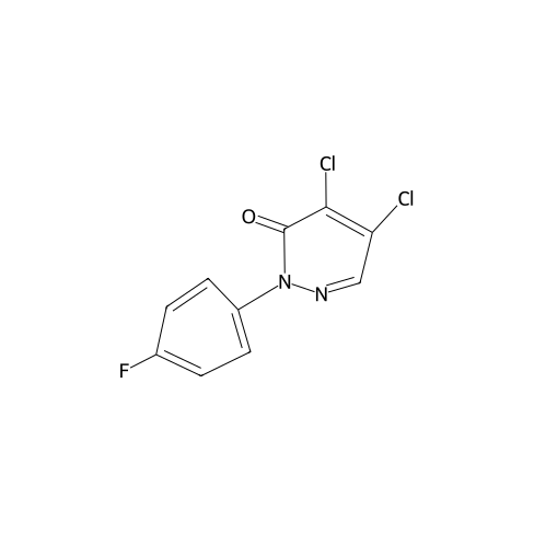 O=c1c(Cl)c(Cl)cnn1-c1ccc(F)cc1